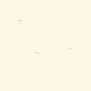 COc1ccc(NCCc2cccnc2)cc1OC